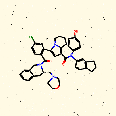 O=C(c1cc(-c2cc(Cl)ccc2C(=O)N2Cc3ccccc3C[C@H]2CN2CCOCC2)n2c1CCCC2)N(c1ccc(O)cc1)c1ccc2c(c1)CCC2